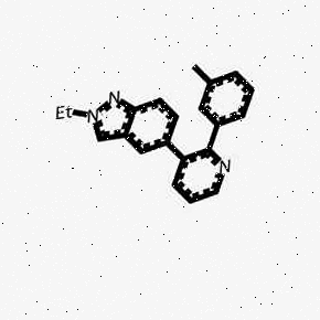 CCn1cc2cc(-c3cccnc3-c3cccc(C)c3)ccc2n1